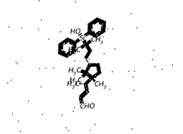 C[C@@H](/C=C/C=O)[C@@]1(C)CC[C@@H](CCC(C)(C)[Si](O)(c2ccccc2)c2ccccc2)C1(C)C